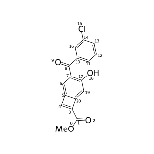 COC(=O)C1=Cc2cc(C(=O)c3cccc(Cl)c3)c(O)cc21